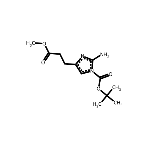 COC(=O)CCc1cn(C(=O)OC(C)(C)C)c(N)n1